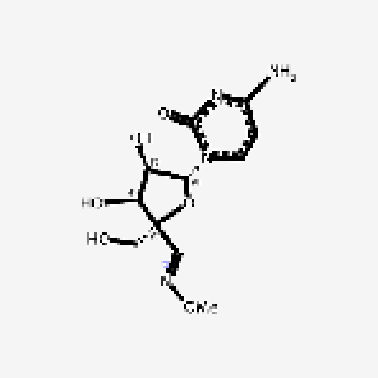 CO/N=C/[C@]1(CO)O[C@@H](n2ccc(N)nc2=O)[C@H](O)[C@@H]1O